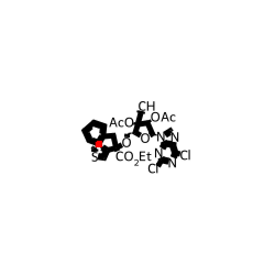 C#C[C@@]1(OC(C)=O)[C@@H](COC(Cc2ccccc2)(C(=O)OCC)c2cscn2)O[C@@H](n2cnc3c(Cl)nc(Cl)nc32)[C@@H]1OC(C)=O